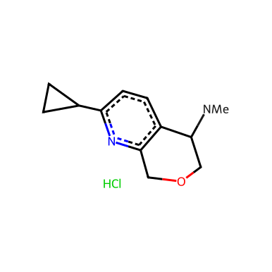 CNC1COCc2nc(C3CC3)ccc21.Cl